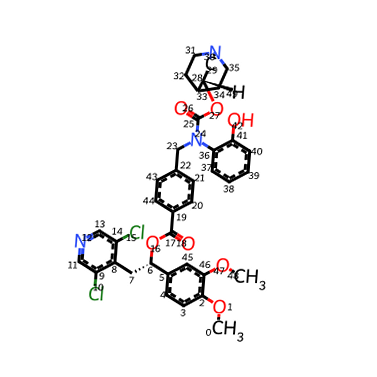 COc1ccc([C@H](Cc2c(Cl)cncc2Cl)OC(=O)c2ccc(CN(C(=O)O[C@H]3CN4CCC3CC4)c3ccccc3O)cc2)cc1OC